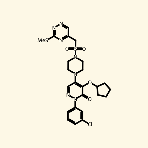 CSc1nncc(CS(=O)(=O)N2CCN(c3cnn(-c4cccc(Cl)c4)c(=O)c3OC3CCCC3)CC2)n1